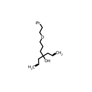 C=CCC(O)(CC=C)CCCOCCC(C)C